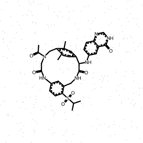 CC(=O)N1CC(=O)Nc2ccc(S(=O)(=O)C(C)C)c(c2)CNC(=O)C(Nc2ccc3nc[nH]c(=O)c3c2)c2cc(C)c(c(C)c2)C1